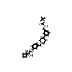 CC(C)(C)OC(=O)NCc1cccc(C2CCN(Cc3cccc(OCC(O)C4(O)CCC4)c3)CC2)c1